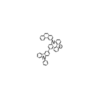 c1ccc(-n2c3ccccc3c3cc(-c4ccc(N(c5ccc6ccc7ccccc7c6c5)c5cccc6oc7ccccc7c56)cc4)ccc32)cc1